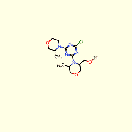 CCOCC1COCC(C)N1c1nc(Cl)nc(N2CCOC[C@H]2C)n1